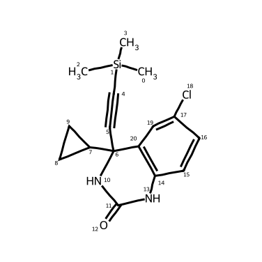 C[Si](C)(C)C#CC1(C2CC2)NC(=O)Nc2ccc(Cl)cc21